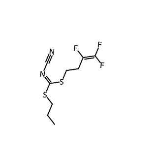 CCCSC(=NC#N)SCCC(F)=C(F)F